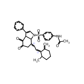 C=C1CCCC(C)/C1=C/C=C1\CC(=O)C(=O)C2C(c3ccccc3)=CN(S(=O)(=O)c3ccc(NC(C)=O)cc3)C12